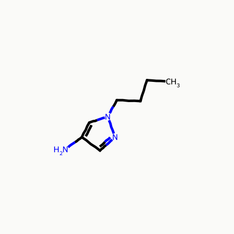 CCCCn1cc(N)cn1